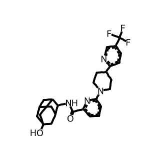 O=C(NC1C2CC3CC1CC(O)(C3)C2)c1cccc(N2CCC(c3ccc(C(F)(F)F)cn3)CC2)n1